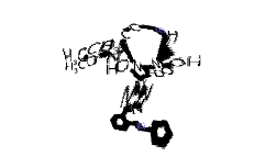 CC(C)(C)OC(=O)N[C@H]1CCCCC/C=C\[C@@H]2C[C@]2(C(=O)O)NC(=O)[C@@H]2C[C@@H](n3nnc(-c4ccccc4/C=C/c4ccccc4)n3)CN2C1=O